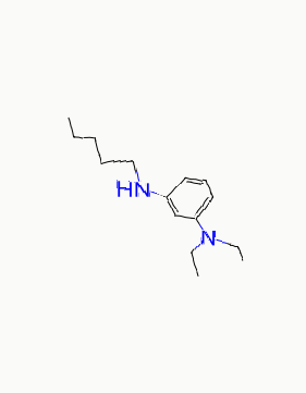 CCCCCNc1cccc(N(CC)CC)c1